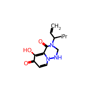 C=CC(C(C)C)N1CNn2ccc(=O)c(O)c2C1=O